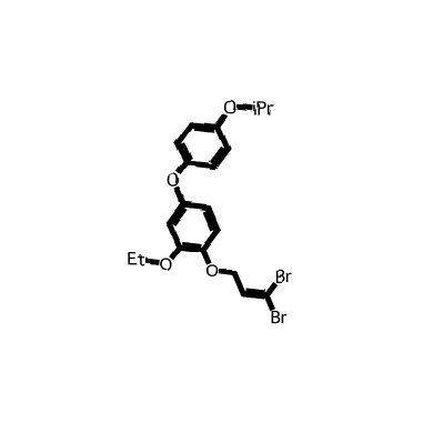 CCOc1cc(Oc2ccc(OC(C)C)cc2)ccc1OCC=C(Br)Br